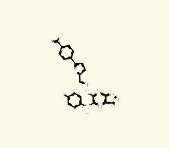 O=C(O)c1ccc(-c2ccc(/C=N/Nc3nc4nonc4nc3Nc3ccc(F)cc3)o2)cc1